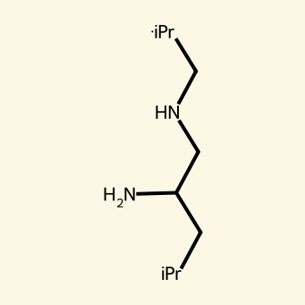 C[C](C)CNCC(N)CC(C)C